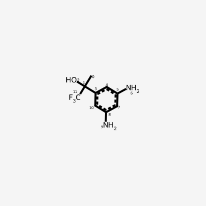 CC(O)(c1cc(N)cc(N)c1)C(F)(F)F